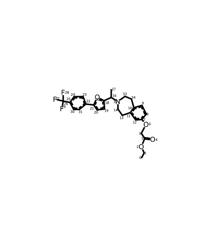 CCOC(=O)COc1ccc2c(c1)CCN(C(C)c1ccc(-c3ccc(C(F)(F)F)cc3)o1)CC2